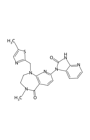 Cc1cnc(CN2CCN(C)C(=O)c3ccc(-n4c(=O)[nH]c5ncccc54)nc32)s1